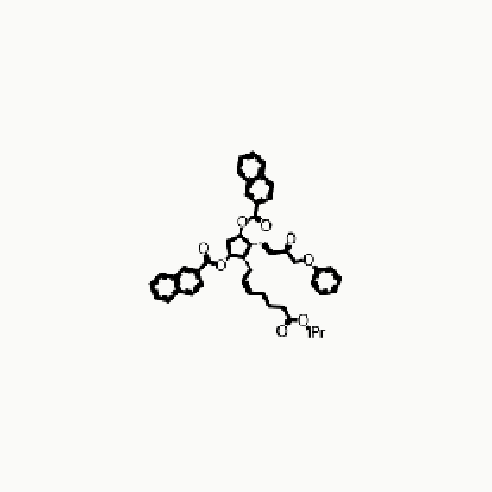 CC(C)OC(=O)CCC/C=C\C[C@@H]1[C@@H](/C=C/C(=O)COc2ccccc2)[C@H](OC(=O)c2ccc3ccccc3c2)C[C@@H]1OC(=O)c1ccc2ccccc2c1